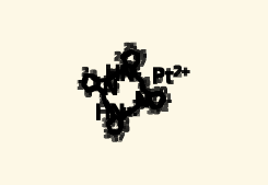 [Pt+2].c1ccc2c(c1)-c1cc3[nH]c(cc4nc(cc5[nH]c(cc-2n1)c1ccccc51)-c1ccccc1-4)c1ccccc31